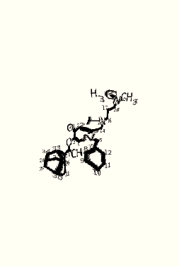 CC(Oc1cn(Cc2ccccc2)c(CNCCCN(C)C)cc1=O)C1C2CC3CC(C2)CC1C3